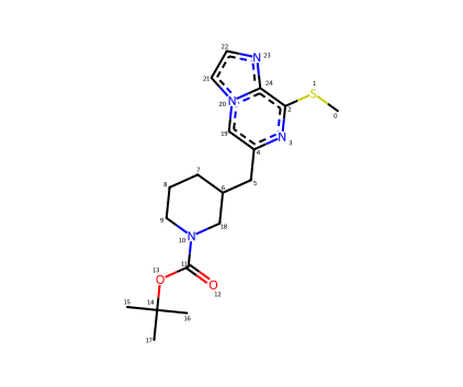 CSc1nc(CC2CCCN(C(=O)OC(C)(C)C)C2)cn2ccnc12